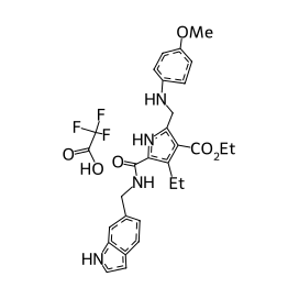 CCOC(=O)c1c(CNc2ccc(OC)cc2)[nH]c(C(=O)NCc2ccc3cc[nH]c3c2)c1CC.O=C(O)C(F)(F)F